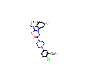 CCOC(=O)Cn1c(=O)n(CC(=O)N2CCN(c3ccc(Cl)c(OC)c3)CC2)c2cc(Cl)ccc21